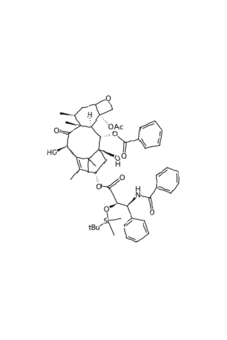 CC(=O)O[C@@]12COC1C[C@H](C)[C@@]1(C)C(=O)[C@H](O)C3=C(C)[C@@H](OC(=O)[C@H](O[Si](C)(C)C(C)(C)C)[C@@H](NC(=O)c4ccccc4)c4ccccc4)C[C@@](O)([C@@H](OC(=O)c4ccccc4)[C@@H]12)C3(C)C